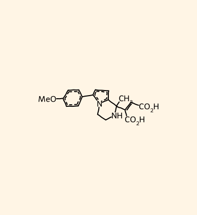 COc1ccc(-c2ccc3n2CCNC3(C)C(=CC(=O)O)C(=O)O)cc1